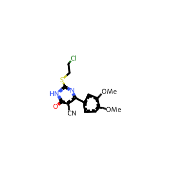 COc1ccc(-c2nc(SCCCl)[nH]c(=O)c2C#N)cc1OC